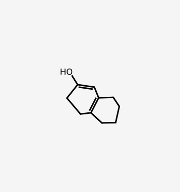 OC1=CC2=C(CCCC2)CC1